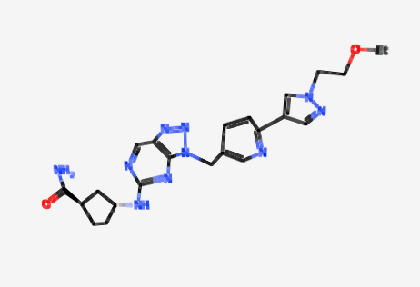 CCOCCn1cc(-c2ccc(Cn3nnc4cnc(N[C@@H]5CC[C@@H](C(N)=O)C5)nc43)cn2)cn1